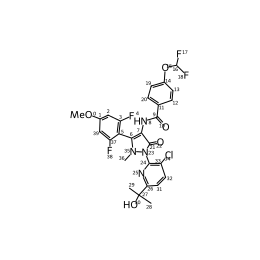 COc1cc(F)c(-c2c(NC(=O)c3ccc(OC(F)F)cc3)c(=O)n(-c3nc(C(C)(C)O)ccc3Cl)n2C)c(F)c1